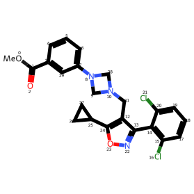 COC(=O)c1cccc(N2CN(Cc3c(-c4c(Cl)cccc4Cl)noc3C3CC3)C2)c1